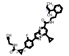 C#CCNC(=O)[C@H]1C[C@@H]1c1ccc(-c2cc3nc(C(=O)NCCc4ccccc4/C(C)=C\C)cc(C4CC4)n3n2)c(F)c1